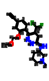 C#Cc1ccc(-c2nnc(N[C@@H]3CCCN(C)C3)cc2C(F)F)c(OCOCC)c1